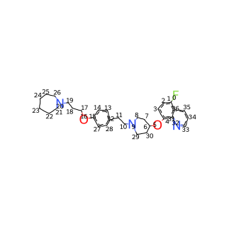 Fc1ccc(OC2CCN(CCc3ccc(OCCCN4CCCCCC4)cc3)CC2)c2ncccc12